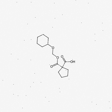 O=C(O)C1(C(=O)OCOC2CCCCC2)CCCC1